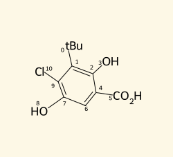 CC(C)(C)c1c(O)c(C(=O)O)cc(O)c1Cl